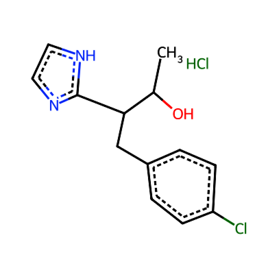 CC(O)C(Cc1ccc(Cl)cc1)c1ncc[nH]1.Cl